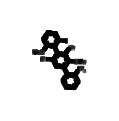 COc1cccc(I)c1-c1c(C(C)C)cc(-c2ccccc2C(F)(F)F)c(OC)c1C(C)C